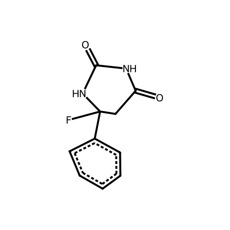 O=C1CC(F)(c2ccccc2)NC(=O)N1